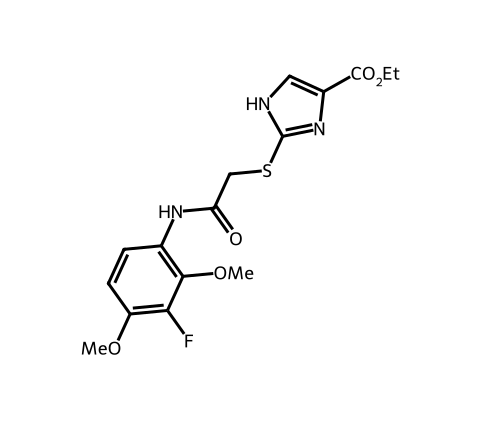 CCOC(=O)c1c[nH]c(SCC(=O)Nc2ccc(OC)c(F)c2OC)n1